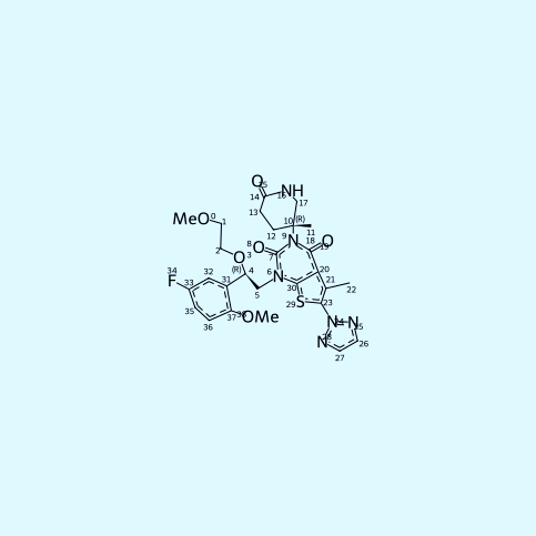 COCCO[C@@H](Cn1c(=O)n([C@]2(C)CCC(=O)NC2)c(=O)c2c(C)c(-n3nccn3)sc21)c1cc(F)ccc1OC